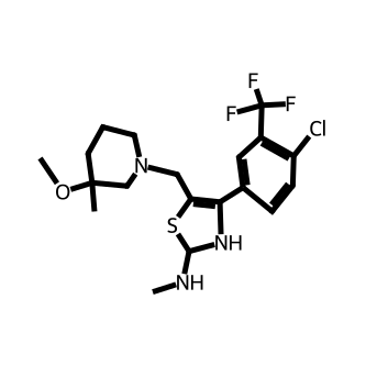 CNC1NC(c2ccc(Cl)c(C(F)(F)F)c2)=C(CN2CCCC(C)(OC)C2)S1